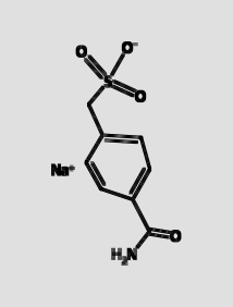 NC(=O)c1ccc(CS(=O)(=O)[O-])cc1.[Na+]